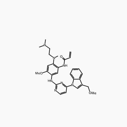 C=CC(=O)Nc1cc(Nc2nccc(-n3cc(COC)c4ccccc43)n2)c(OC)cc1N(C)CCN(C)C